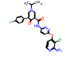 CC(C)n1cc(C(=O)Nc2ccc(Oc3ccnc(N)c3Cl)nn2)c(=O)c(-c2ccc(F)cc2)c1